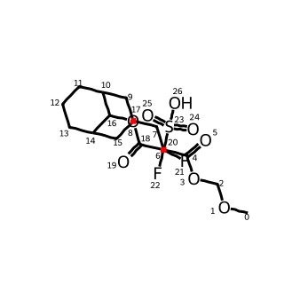 COCOC(=O)CCC1CC2CCCC(C1)C2OC(=O)C(F)(F)S(=O)(=O)O